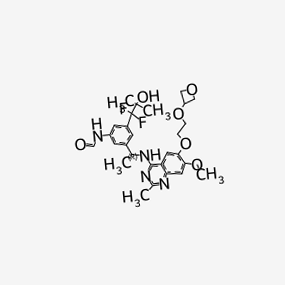 COc1cc2nc(C)nc(N[C@H](C)c3cc(NC=O)cc(C(F)(F)C(C)(C)O)c3)c2cc1OCCOC1COC1